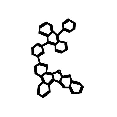 c1ccc(-c2c3ccccc3c(-c3cccc(-c4ccc5c6ccccc6c6c7cc8ccccc8cc7oc6c5c4)c3)c3ccccc23)cc1